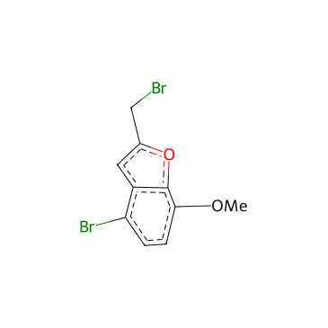 COc1ccc(Br)c2cc(CBr)oc12